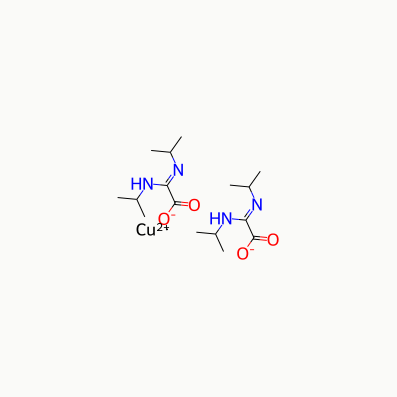 CC(C)N=C(NC(C)C)C(=O)[O-].CC(C)N=C(NC(C)C)C(=O)[O-].[Cu+2]